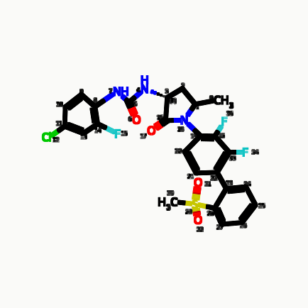 CC1C[C@@H](NC(=O)Nc2ccc(Cl)cc2F)C(=O)N1c1ccc(-c2ccccc2S(C)(=O)=O)c(F)c1F